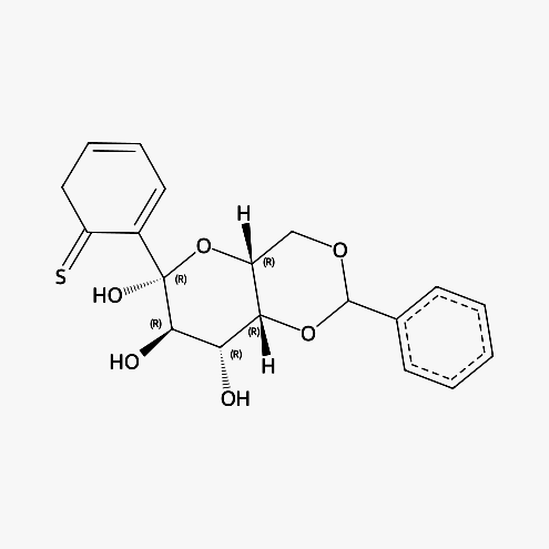 O[C@H]1[C@H]2OC(c3ccccc3)OC[C@H]2O[C@](O)(C2=CC=CCC2=S)[C@@H]1O